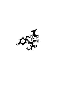 N#CCC1(N/C=C(\C(=N)NC(=O)C2CC2)C(N)=O)CCC(=O)CC1